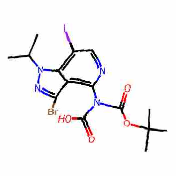 CC(C)n1nc(Br)c2c(N(C(=O)O)C(=O)OC(C)(C)C)ncc(I)c21